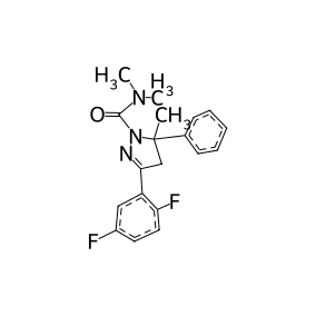 CN(C)C(=O)N1N=C(c2cc(F)ccc2F)CC1(C)c1ccccc1